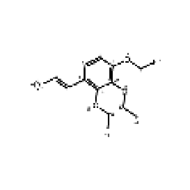 [CH2]C=Cc1ccc(OCF)c(OCF)c1OCF